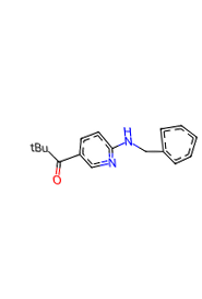 CC(C)(C)C(=O)c1ccc(NCc2ccccc2)nc1